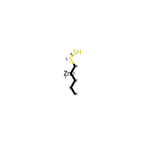 CCCCCSS.[Zn]